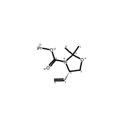 C=C[C@H]1COC(C)(C)N1C(=O)OC(C)C